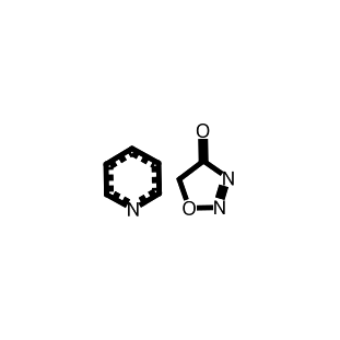 O=C1CON=N1.c1ccncc1